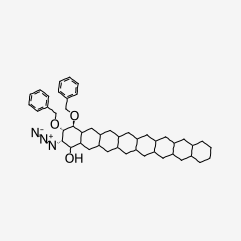 [N-]=[N+]=N[C@H]1C(O)C2CC3CC4CC5CC6CC7CC8CCCCC8CC7CC6CC5CC4CC3CC2[C@H](OCc2ccccc2)[C@H]1OCc1ccccc1